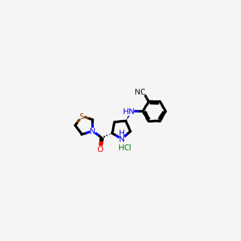 Cl.N#Cc1ccccc1N[C@@H]1CN[C@H](C(=O)N2CCSC2)C1